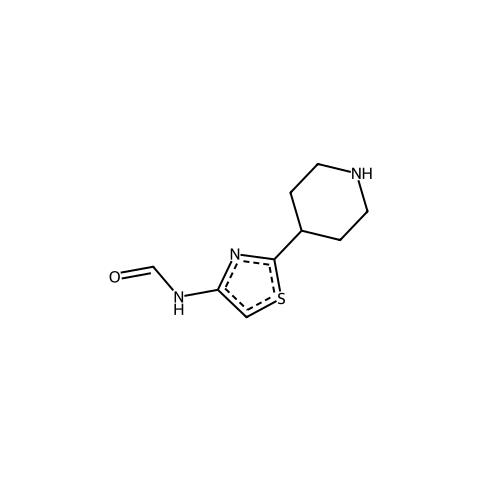 O=CNc1csc(C2CCNCC2)n1